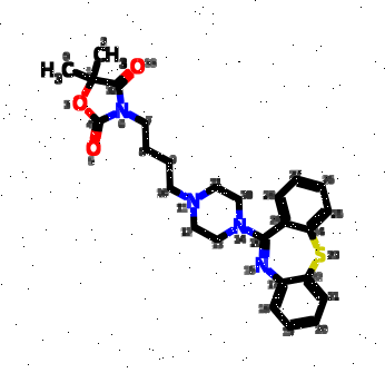 CC1(C)OC(=O)N(CCCCN2CCN(C3=Nc4ccccc4Sc4ccccc43)CC2)C1=O